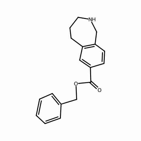 O=C(OCc1ccccc1)c1ccc2c(c1)CCCNC2